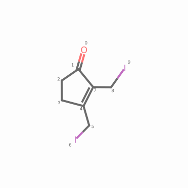 O=C1CCC(CI)=C1CI